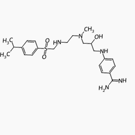 CC(C)c1ccc(S(=O)(=O)CNCCN(C)CC(O)CNc2ccc(C(=N)N)cc2)cc1